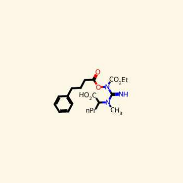 CCCC(C(=O)O)N(C)C(=N)N(OC(=O)CCCc1ccccc1)C(=O)OCC